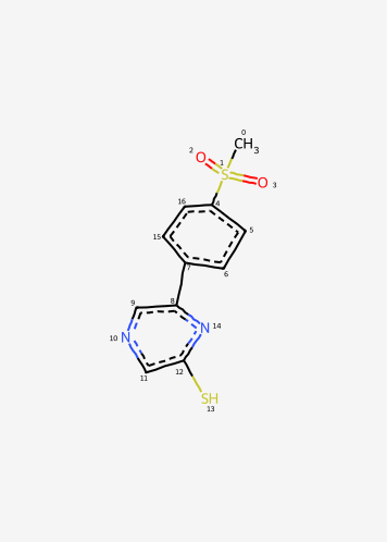 CS(=O)(=O)c1ccc(-c2cncc(S)n2)cc1